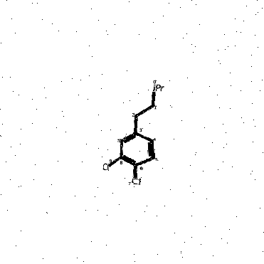 CC(C)CCc1ccc(Cl)c(Cl)c1